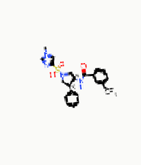 Cn1cnc(S(=O)(=O)N2C[C@H](NC(=O)c3cccc(C(F)(F)F)c3)[C@@H](c3ccccc3)C2)c1